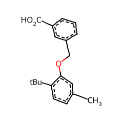 Cc1ccc(C(C)(C)C)c(OCc2cccc(C(=O)O)c2)c1